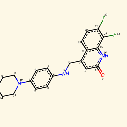 O=c1cc(CNc2ccc(N3CCCCC3)cc2)c2ccc(F)c(F)c2[nH]1